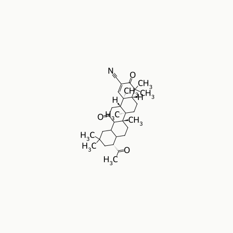 CC(=O)[C@@H]1CC(C)(C)CC2C1CC[C@]1(C)C2C(=O)C[C@@H]2[C@@]3(C)C=C(C#N)C(=O)C(C)(C)[C@@H]3CC[C@]21C